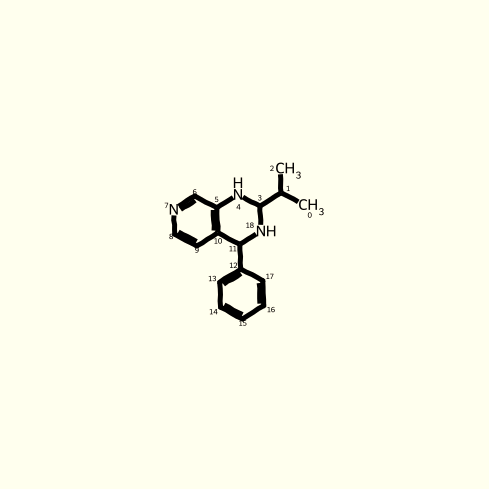 CC(C)C1Nc2cnccc2C(c2ccccc2)N1